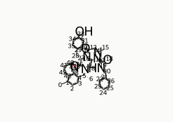 Cc1ccc([C@@H](C)N2CC3N(C(=O)CN(C)N3C(=O)NCc3ccccc3)[C@@H](Cc3ccc(O)cc3)C2=O)c2ncccc12